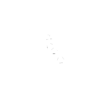 O=C(O)[C@H]1CC[C@H](NS(=O)(=O)c2ccc3cc(-c4ccccc4)[nH]c3c2)CC1